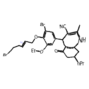 CCCC1CC(=O)C2=C(C1)NC(C)=C(C#N)C2c1cc(Br)c(OC/C=C/CBr)c(OCC)c1